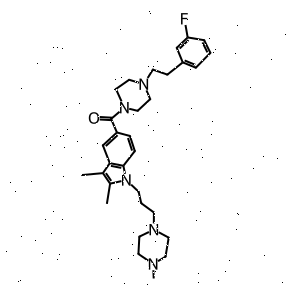 Cc1c(C)n(CCCN2CCN(C)CC2)c2ccc(C(=O)N3CCN(CCc4cccc(F)c4)CC3)cc12